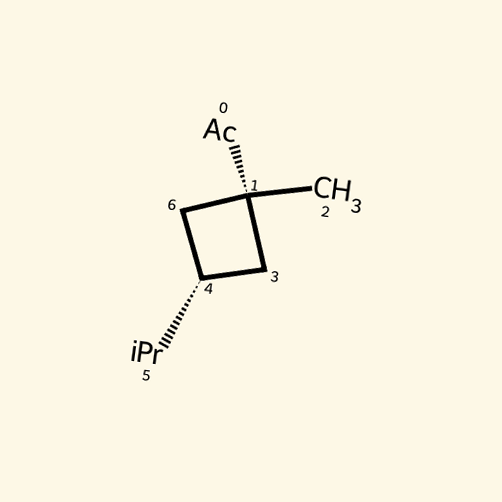 CC(=O)[C@]1(C)C[C@H](C(C)C)C1